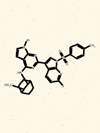 Cc1ccc(S(=O)(=O)n2cc(-c3nc(NC4C5CCC(CC5)C4C(=O)O)c4ccn(C(C)C)c4n3)c3ccc(F)nc32)cc1